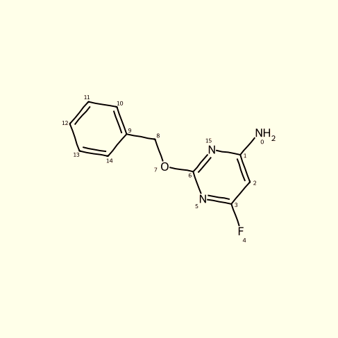 Nc1cc(F)nc(OCc2ccccc2)n1